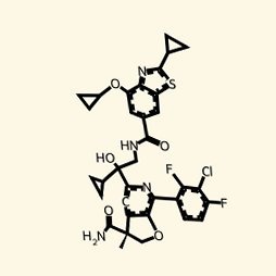 C[C@]1(C(N)=O)COc2c1cc(C(O)(CNC(=O)c1cc(OC3CC3)c3nc(C4CC4)sc3c1)C1CC1)nc2-c1ccc(F)c(Cl)c1F